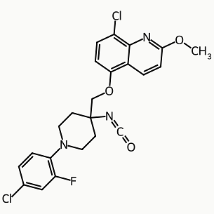 COc1ccc2c(OCC3(N=C=O)CCN(c4ccc(Cl)cc4F)CC3)ccc(Cl)c2n1